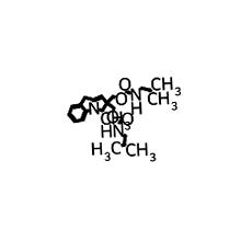 CC(C)CNC(=O)OCC1(COC(=O)NCC(C)C)C=C2Cc3ccccc3N2C1C